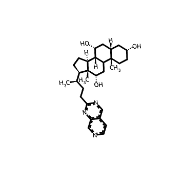 C[C@H](CCc1ncc2ccncc2n1)[C@H]1CC[C@H]2[C@H]3C(C[C@H](O)[C@]12C)[C@@]1(C)CC[C@@H](O)C[C@H]1C[C@H]3O